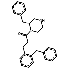 O=C(CCc1ccccc1Cc1ccccc1)N1CCNC[C@H]1Cc1ccccc1